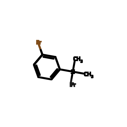 CC(C)[Si](C)(C)c1cccc(Br)c1